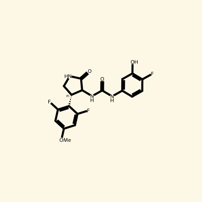 COc1cc(F)c([C@@H]2CNC(=O)C2NC(=O)Nc2ccc(F)c(O)c2)c(F)c1